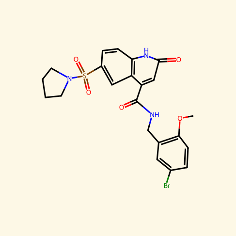 COc1ccc(Br)cc1CNC(=O)c1cc(=O)[nH]c2ccc(S(=O)(=O)N3CCCC3)cc12